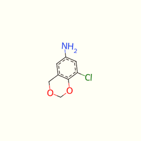 Nc1cc(Cl)c2c(c1)COCO2